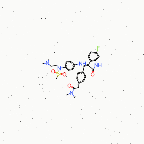 CN(C)CCN(c1ccc(NC(=C2C(=O)Nc3cc(F)ccc32)c2ccc(CC(=O)N(C)C)cc2)cc1)S(C)(=O)=O